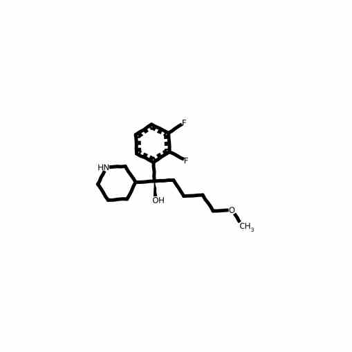 COCCCC[C@@](O)(c1cccc(F)c1F)C1CCCNC1